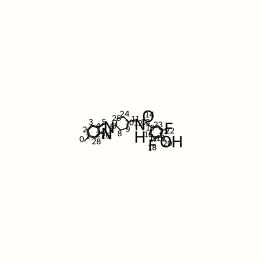 Cc1ccc2cn(C3CCC(CNC(=O)c4cc(F)c(O)c(F)c4)CC3)nc2c1